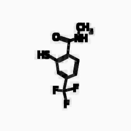 CNC(=O)c1ccc(C(F)(F)F)cc1S